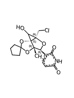 C[C@@]12OC3(CCCC3)O[C@@]13C(O)[C@@]3(CCl)O[C@H]2n1ccc(=O)[nH]c1=O